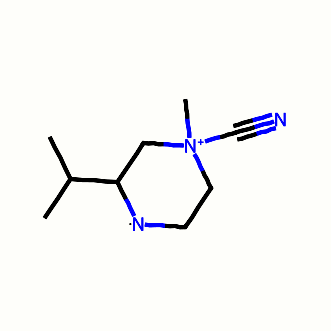 CC(C)C1C[N+](C)(C#N)CC[N]1